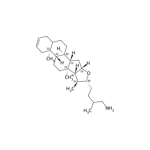 CC(CN)CC[C@H]1O[C@H]2C[C@H]3[C@@H]4CCC5CC=CC[C@]5(C)[C@H]4CC[C@]3(C)[C@H]2[C@@H]1C